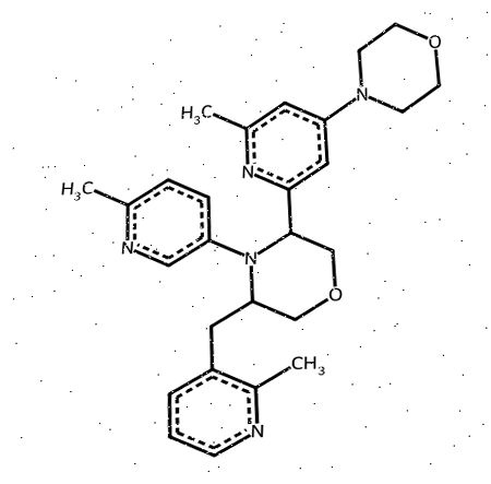 Cc1ccc(N2C(Cc3cccnc3C)COCC2c2cc(N3CCOCC3)cc(C)n2)cn1